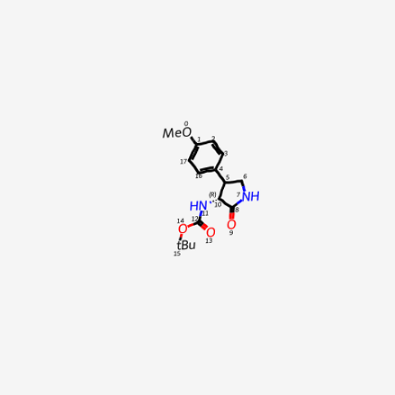 COc1ccc(C2CNC(=O)[C@@H]2NC(=O)OC(C)(C)C)cc1